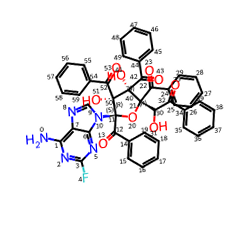 Nc1nc(F)nc2c1ncn2[C@]1(C(=O)c2ccccc2)O[C@](C(=O)c2ccccc2)(C(O)C(=O)c2ccccc2)[C@](O)(C(=O)c2ccccc2)[C@]1(O)C(=O)c1ccccc1